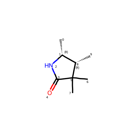 C[C@H]1NC(=O)C(C)(C)[C@H]1C